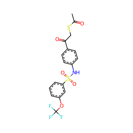 CC(=O)SCC(=O)c1ccc(NS(=O)(=O)c2cccc(OC(F)(F)F)c2)cc1